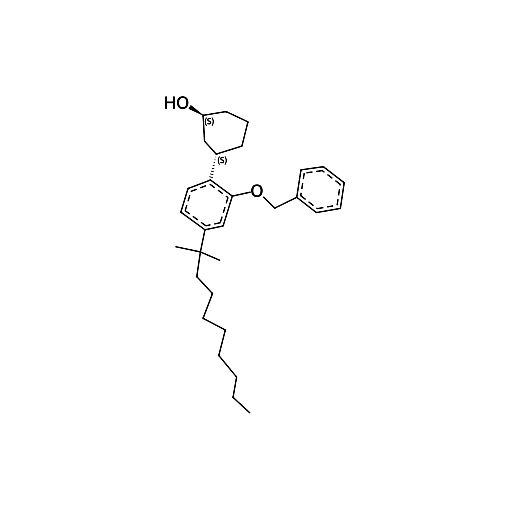 CCCCCCCCC(C)(C)c1ccc([C@H]2CCC[C@H](O)C2)c(OCc2ccccc2)c1